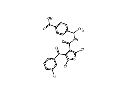 CC(NC(=O)c1c(Cl)sc(Cl)c1C(=O)c1cccc(Cl)c1)c1ccc(C(=O)O)cc1